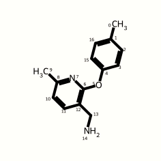 Cc1ccc(Oc2nc(C)ccc2CN)cc1